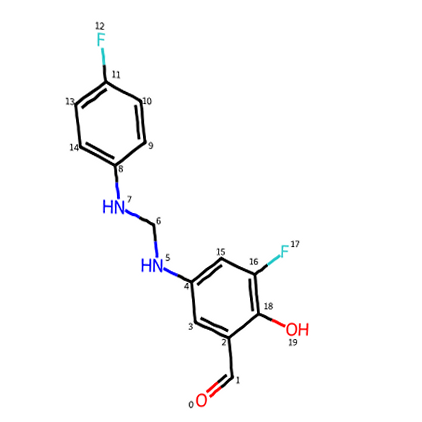 O=Cc1cc(NCNc2ccc(F)cc2)cc(F)c1O